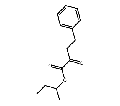 CCC(C)OC(=O)C(=O)CCc1ccccc1